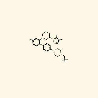 CCOC(=O)c1cnn(C2CCCN(c3cc(Cl)ccc3-c3ccc(N4CCN(CC(C)(F)F)CC4)cc3)C2)c1C(F)(F)F